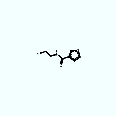 CC(C)CCNC(=O)c1ccsc1